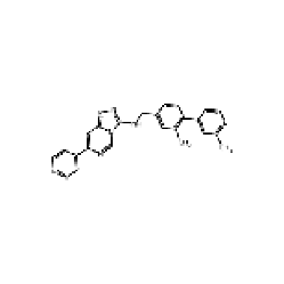 Cc1cc(-c2ccc(CNc3nnc4cc(-c5ccnnc5)ncn34)cc2C)ccn1